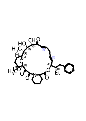 CC[C@H](Cc1ccccc1)[C@@H]1/C=C/C/C=C/C(=O)[C@@H](C)[C@H](O)[C@@H](C)[C@@H]2CC[C@@H](C)[C@@](O)(O2)C(=O)C(=O)N2CCCCC2C(=O)O1